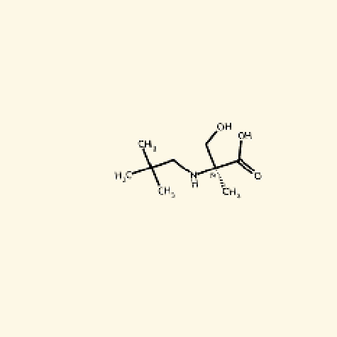 CC(C)(C)CN[C@@](C)(CO)C(=O)O